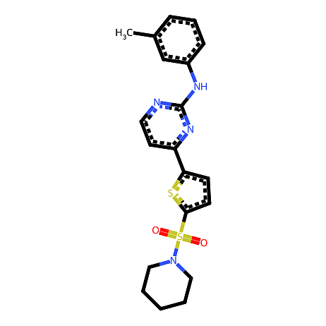 Cc1cccc(Nc2nccc(-c3ccc(S(=O)(=O)N4CCCCC4)s3)n2)c1